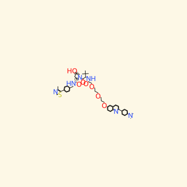 Cc1ncsc1-c1ccc(CNC(=O)[C@@H]2C[C@@H](O)CN2C(=O)C(NC(=O)COCCCOCCCOc2ccc3nc(-c4ccc(N(C)C)cc4)ccc3c2)C(C)(C)C)cc1